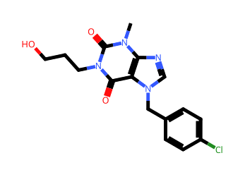 Cn1c(=O)n(CCCO)c(=O)c2c1ncn2Cc1ccc(Cl)cc1